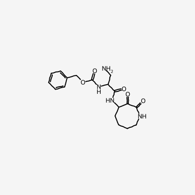 NCC(NC(=O)OCc1ccccc1)C(=O)NC1CCCCNC(=O)C1=O